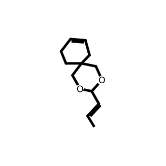 CC=CC1OCC2(CC=CCC2)CO1